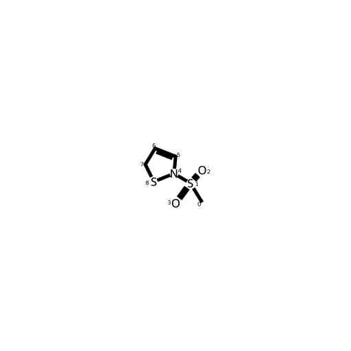 CS(=O)(=O)N1C=CCS1